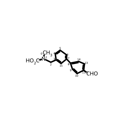 CN(Cc1cccc(-c2ccc(C=O)cc2)c1)C(=O)O